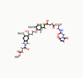 COc1cc2c(cc1C(O)CCOc1c(OC)cc3sc(C(=O)CCC(=O)O[C@@H](C)CNC(=O)CN4C(=O)C=CC4=O)cc3c1F)CN(C(=O)CCC(=O)OC(C)(C)C)C2